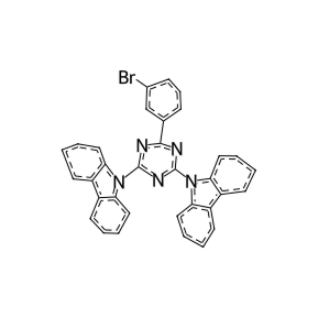 Brc1cccc(-c2nc(-n3c4ccccc4c4ccccc43)nc(-n3c4ccccc4c4ccccc43)n2)c1